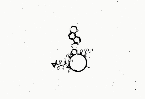 C[C@H]1CCC=C[C@@H]2C[C@@]2(C(=O)NS(=O)(=O)C2(C)CC2)NC(=O)[C@@H]2C[C@@H](Oc3nccc4c5c(ccc34)OCCO5)CN2C(=O)[C@@H](NC(=O)O)[C@H](C)C1